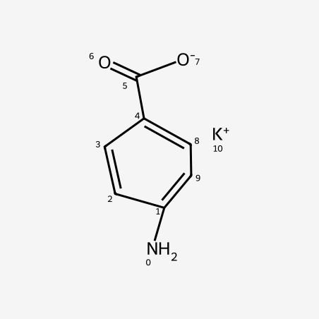 Nc1ccc(C(=O)[O-])cc1.[K+]